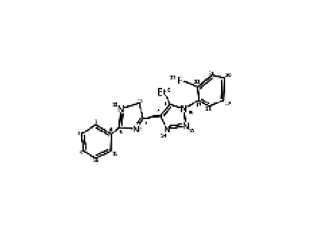 CCc1c(C2=NC(c3ccccc3)=NC2)nnn1-c1ccccc1F